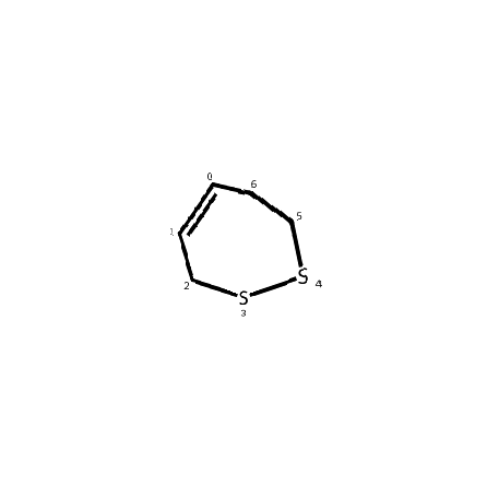 C1=CCSSCC1